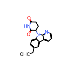 O=CCc1ccc2c(c1)c1cccnc1n2C1CCC(=O)NC1=O